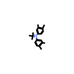 Cc1ccc(N(c2ccc(C)c(C)c2)C(C)(C)C)cc1C